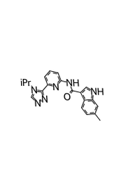 Cc1ccc2c(C(=O)Nc3cccc(-c4nncn4C(C)C)n3)c[nH]c2c1